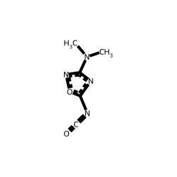 CN(C)c1noc(N=C=O)n1